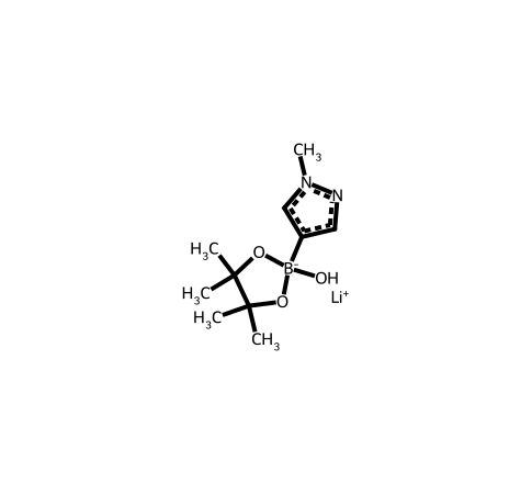 Cn1cc([B-]2(O)OC(C)(C)C(C)(C)O2)cn1.[Li+]